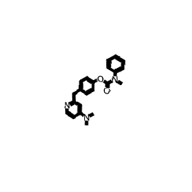 CN(C)c1ccnc(Cc2ccc(OC(=O)N(C)c3ccccc3)cc2)c1